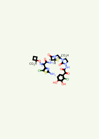 Nc1nc(/C(=N/OC2(C(=O)O)CCC2)C(=O)N[C@@H]2C(=O)N3C[C@@](C(=O)O)(N4CCN(NC(=O)C(=O)c5ccc(O)c(O)c5Cl)C4=O)S[C@H]23)c(Cl)s1